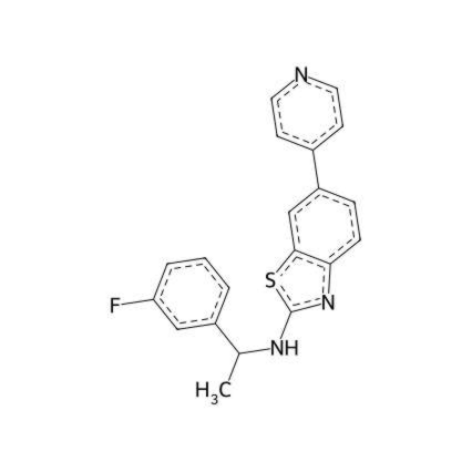 CC(Nc1nc2ccc(-c3ccncc3)cc2s1)c1cccc(F)c1